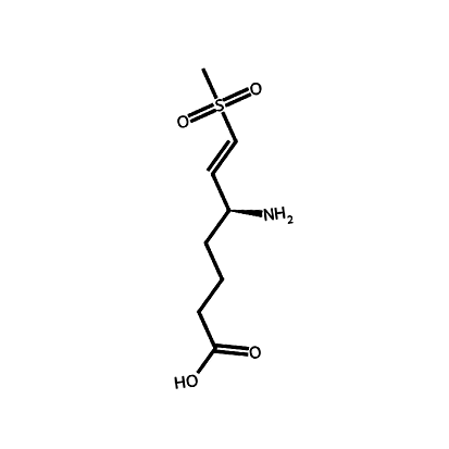 CS(=O)(=O)/C=C/[C@@H](N)CCCC(=O)O